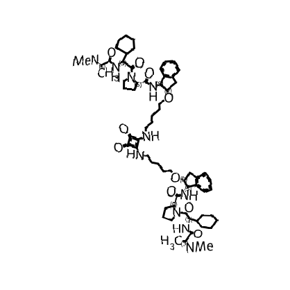 CN[C@@H](C)C(=O)N[C@H](C(=O)N1CCC[C@H]1C(=O)N[C@H]1c2ccccc2C[C@H]1OCCCCCNc1c(NCCCCCO[C@@H]2Cc3ccccc3[C@@H]2NC(=O)[C@@H]2CCCN2C(=O)[C@@H](NC(=O)[C@H](C)NC)C2CCCCC2)c(=O)c1=O)C1CCCCC1